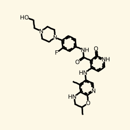 Cc1c(Nc2cc[nH]c(=O)c2C(=O)Nc2ccc(N3CCN(CCO)CC3)c(F)c2)cnc2c1NCC(C)O2